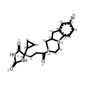 O=C1NC(=O)[C@](CCC(=O)N2CCN3c4ccc(Br)cc4CC3C2)(C2CC2)N1